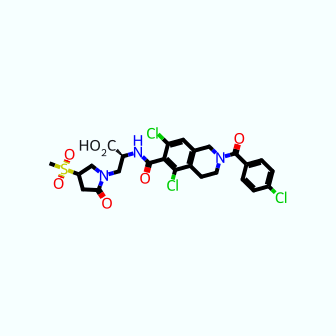 CS(=O)(=O)C1CC(=O)N(C[C@H](NC(=O)c2c(Cl)cc3c(c2Cl)CCN(C(=O)c2ccc(Cl)cc2)C3)C(=O)O)C1